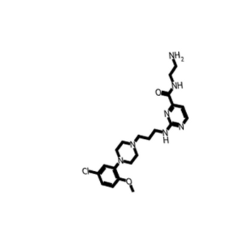 COc1ccc(Cl)cc1N1CCN(CCCNc2nccc(C(=O)NCCN)n2)CC1